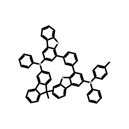 Cc1ccc(N(c2ccccc2)c2cc(-c3cccc(-c4cc(N(c5ccccc5)c5ccc6c(c5)-c5ccccc5C6(C)C)cc5c4sc4ccccc45)c3)c3sc4ccccc4c3c2)cc1